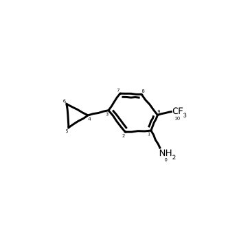 Nc1cc(C2CC2)ccc1C(F)(F)F